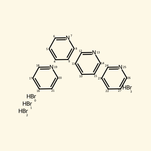 Br.Br.Br.Br.c1ccncc1.c1ccncc1.c1ccncc1.c1ccncc1